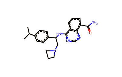 CC(C)c1ccc(C(CN2CCC2)Nc2ncnc3c(C(N)=O)cccc23)cc1